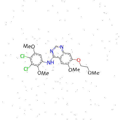 COCCOc1cc2ncnc(Nc3cc(OC)c(Cl)c(Cl)c3OC)c2cc1OC